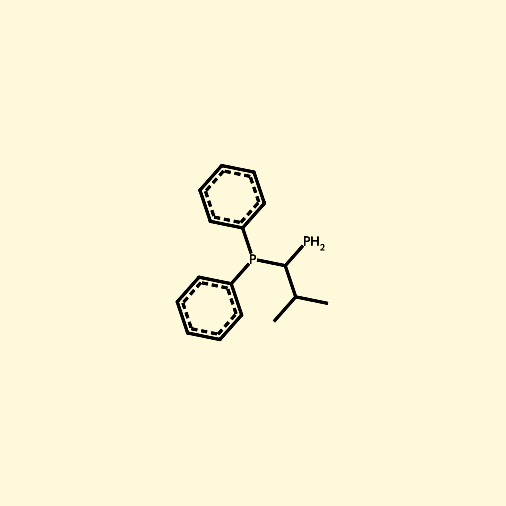 CC(C)C(P)P(c1ccccc1)c1ccccc1